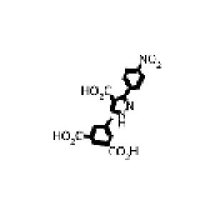 Cc1cc(C(=O)O)cc(C(=O)O)c1.O=C(O)c1c[nH]nc1-c1ccc([N+](=O)[O-])cc1